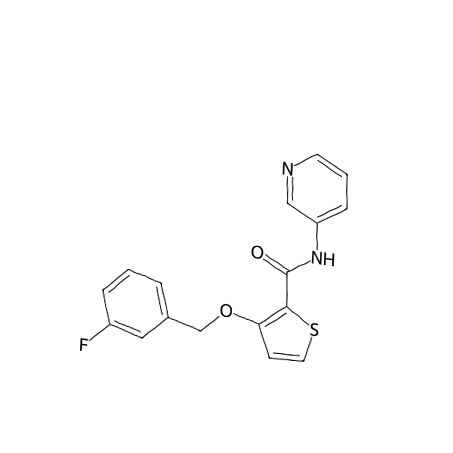 O=C(Nc1cccnc1)c1sccc1OCc1cccc(F)c1